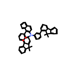 CC1(C)c2ccccc2-c2ccc(N(c3cccc(-c4cccc5c4C(C)(C)c4ccccc4-5)c3)c3ccc4ccccc4c3-c3ccccc3)cc21